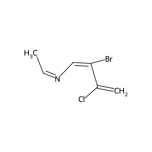 C=C(Cl)/C(Br)=C\N=C/C